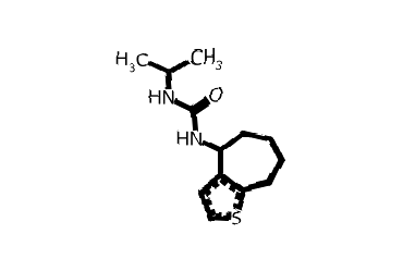 CC(C)NC(=O)NC1CCCCc2sccc21